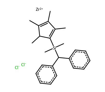 CC1=C(C)C(C)C([Si](C)(C)C(c2ccccc2)c2ccccc2)=C1C.[Cl-].[Cl-].[Zr+2]